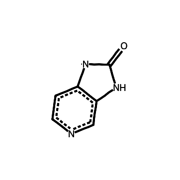 O=C1[N]c2ccncc2N1